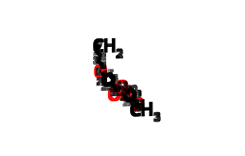 C=CCCCOc1ccc(C(O)Oc2ccc(OC)cc2)cc1